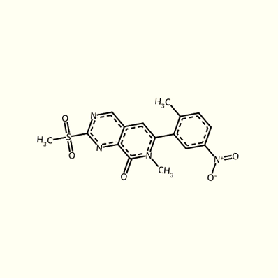 Cc1ccc([N+](=O)[O-])cc1-c1cc2cnc(S(C)(=O)=O)nc2c(=O)n1C